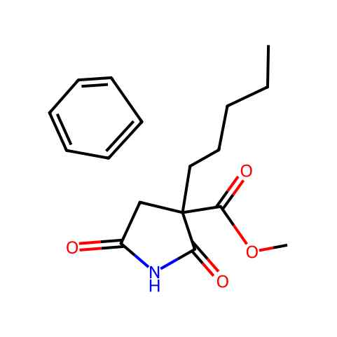 CCCCCC1(C(=O)OC)CC(=O)NC1=O.c1ccccc1